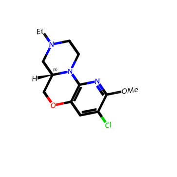 CCN1CCN2c3nc(OC)c(Cl)cc3OC[C@@H]2C1